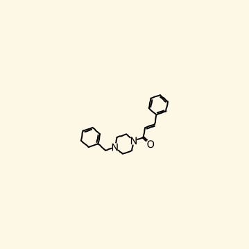 O=C(/C=C/c1ccccc1)N1CCN(CC2=CC=CCC2)CC1